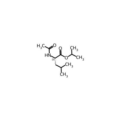 CC(=O)N[C@@H](CC(C)C)C(=O)OC(C)C